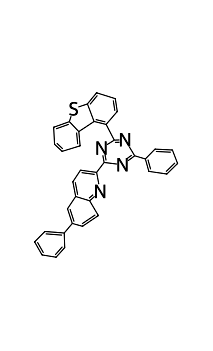 c1ccc(-c2ccc3nc(-c4nc(-c5ccccc5)nc(-c5cccc6sc7ccccc7c56)n4)ccc3c2)cc1